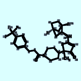 CC1(C2CCN(C(=O)CCc3ccc(C(F)(F)F)cc3)CC2)SC(N[C@H]2C[C@H]3CC[C@H]2C3)=NC1=O